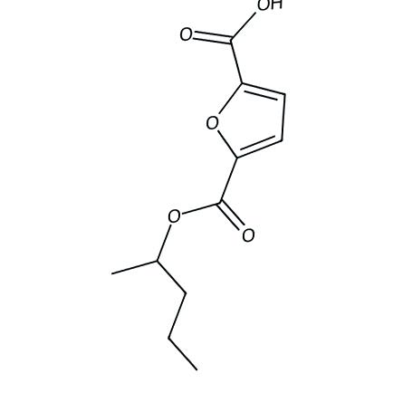 CCCC(C)OC(=O)c1ccc(C(=O)O)o1